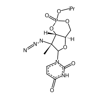 CC(C)OP1(=O)OC[C@H]2OC(n3ccc(=O)[nH]c3=O)[C@](C)(N=[N+]=[N-])[C@@H]2O1